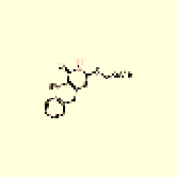 CSCSc1cc(Cc2ccccc2)c(C(C)C)c(=O)[nH]1